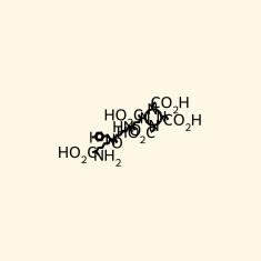 NC(CCCCN(Cc1ccc(I)cc1)C(=O)CCCCNC(=O)CCC(C(=O)O)N1CCN(CC(=O)O)CCN(CC(=O)O)CCN(CC(=O)O)CC1)C(=O)O